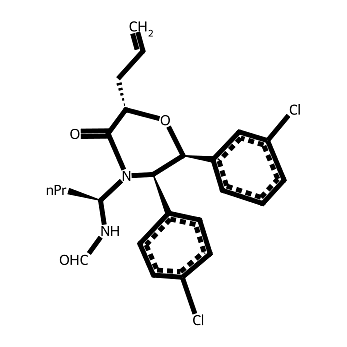 C=CC[C@@H]1O[C@@H](c2cccc(Cl)c2)[C@@H](c2ccc(Cl)cc2)N([C@H](CCC)NC=O)C1=O